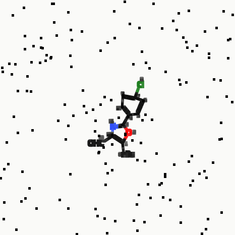 CCCCc1oc(-c2ccc(Cl)cc2)nc1C=O